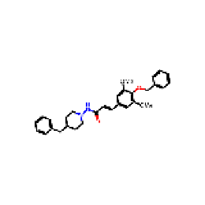 COc1cc(/C=C/C(=O)NN2CCC(Cc3ccccc3)CC2)cc(OC)c1OCc1ccccc1